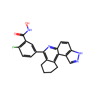 O=C(NO)c1cc(-c2nc3ccc4[nH]ncc4c3c3c2CCCC3)ccc1F